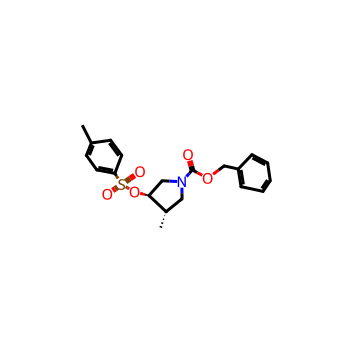 Cc1ccc(S(=O)(=O)O[C@H]2CN(C(=O)OCc3ccccc3)C[C@@H]2C)cc1